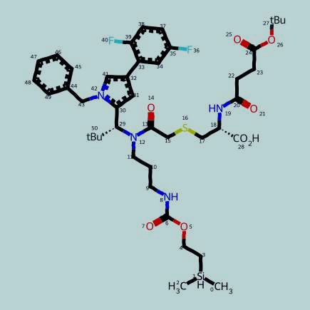 C[SiH](C)CCOC(=O)NCCCN(C(=O)CSC[C@H](NC(=O)CCC(=O)OC(C)(C)C)C(=O)O)[C@@H](c1cc(-c2cc(F)ccc2F)cn1Cc1ccccc1)C(C)(C)C